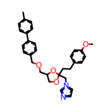 COc1ccc(CCC2(Cn3ccnc3)OCC(COCc3ccc(-c4ccc(C)cc4)cc3)O2)cc1